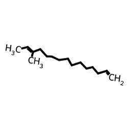 C=CCCCCCCCCCC/C(C)=C/C